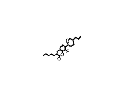 CCCCCC1Cc2ccc(C3CCC(CCC)CO3)c(F)c2OC1=O